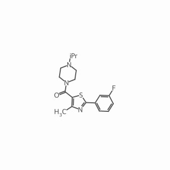 Cc1nc(-c2cccc(F)c2)sc1C(=O)N1CCN(C(C)C)CC1